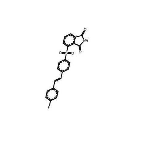 O=C1NC(=O)c2c1cccc2S(=O)(=O)c1ccc(/C=C/c2ccc(F)cc2)cc1